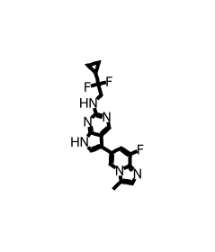 Cc1cnc2c(F)cc(-c3c[nH]c4nc(NCC(F)(F)C5CC5)ncc34)cn12